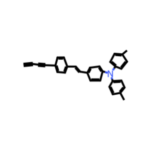 C#CC#Cc1ccc(/C=C/c2ccc(N(c3ccc(C)cc3)c3ccc(C)cc3)cc2)cc1